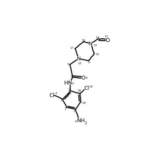 Nc1cc(Cl)c(NC(=O)CN2CCN(C=O)CC2)c(Cl)c1